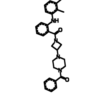 Cc1cccc(Nc2ccccc2C(=O)N2CC(N3CCN(C(=O)c4ccccc4)CC3)C2)c1C